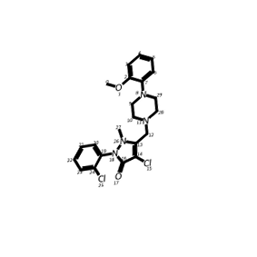 COc1ccccc1N1CCN(Cc2c(Cl)c(=O)n(-c3ccccc3Cl)n2C)CC1